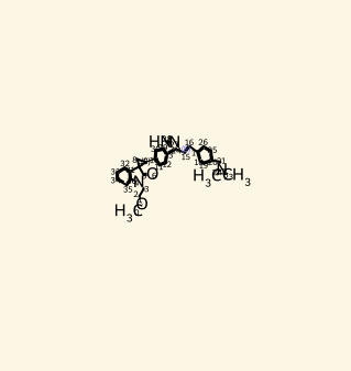 COCCN1C(=O)C2(C[C@H]2c2ccc3c(/C=C/c4ccc(CN(C)C)cc4)n[nH]c3c2)c2ccccc21